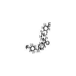 O=C(N1CCN(Cc2ccc(F)cc2)CC1)N1CCN(Cc2ccc(F)cc2)CC1